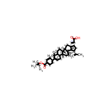 C=C(C)[C@@H]1CC[C@]2(/C=C/C(=O)O)CCC3(C)[C@H](CC[C@@H]4C5(C)CC=C(c6ccc(C(=O)OC(C)(C)C)cc6)C(C)(C)C5CCC43C)[C@@H]12